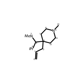 C=CCC1(C(NC)C(C)C)CCN(C)CC1